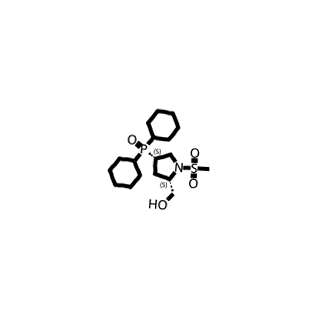 CS(=O)(=O)N1C[C@@H](P(=O)(C2CCCCC2)C2CCCCC2)C[C@H]1CO